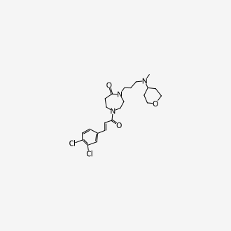 CN(CCCN1CCN(C(=O)C=Cc2ccc(Cl)c(Cl)c2)CCC1=O)C1CCOCC1